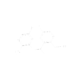 CC(Oc1cc(Br)cnc1N)c1cc(F)ccc1CO